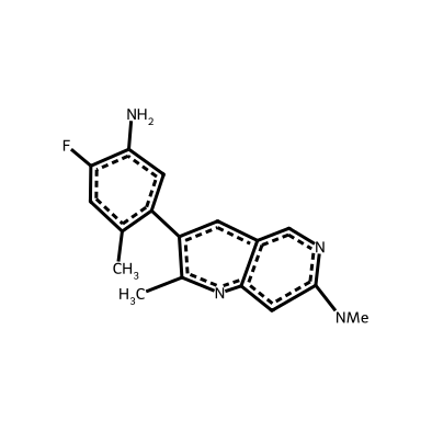 CNc1cc2nc(C)c(-c3cc(N)c(F)cc3C)cc2cn1